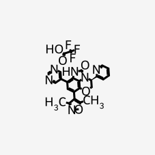 Cc1noc(C)c1-c1cc(-c2cncnc2)c2[nH]c(=O)n3c2c1OC[C@@H]3c1ccccn1.O=C(O)C(F)(F)F